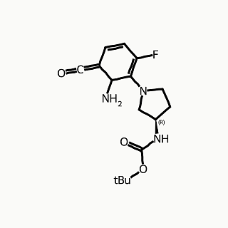 CC(C)(C)OC(=O)N[C@@H]1CCN(C2=C(F)C=CC(=C=O)C2N)C1